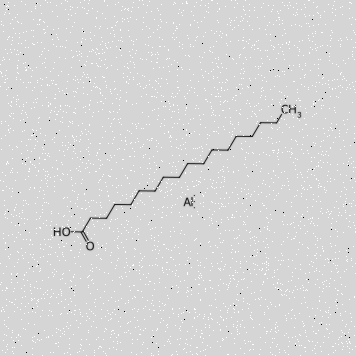 CCCCCCCCCCCCCCCCCC(=O)O.[Al]